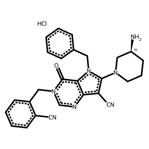 Cl.N#Cc1ccccc1Cn1cnc2c(C#N)c(N3CCC[C@H](N)C3)n(Cc3ccccc3)c2c1=O